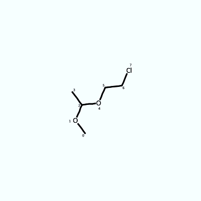 COC(C)OCCCl